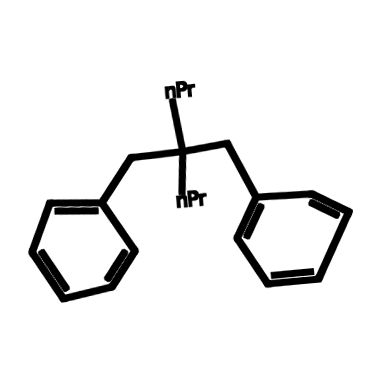 [CH2]CCC(CCC)(Cc1ccccc1)Cc1ccccc1